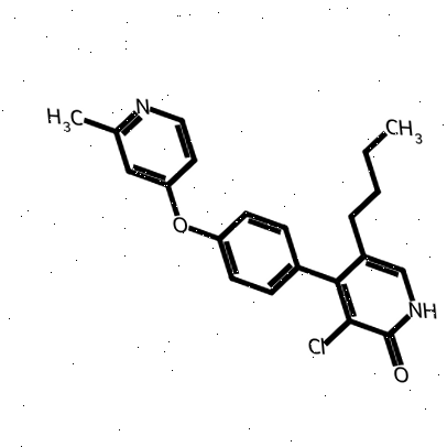 CCCCc1c[nH]c(=O)c(Cl)c1-c1ccc(Oc2ccnc(C)c2)cc1